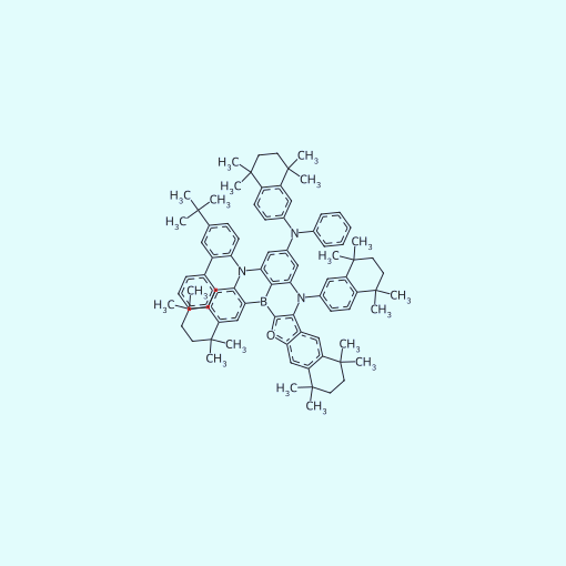 CC(C)(C)c1ccc(N2c3cc4c(cc3B3c5oc6cc7c(cc6c5N(c5ccc6c(c5)C(C)(C)CCC6(C)C)c5cc(N(c6ccccc6)c6ccc8c(c6)C(C)(C)CCC8(C)C)cc2c53)C(C)(C)CCC7(C)C)C(C)(C)CCC4(C)C)c(-c2ccccc2)c1